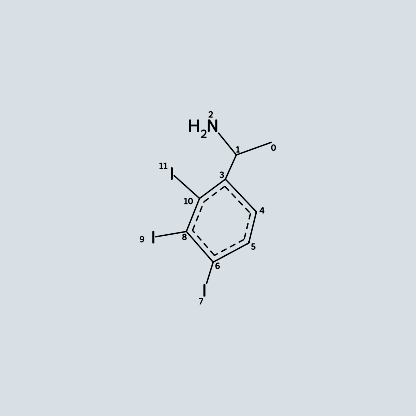 CC(N)c1ccc(I)c(I)c1I